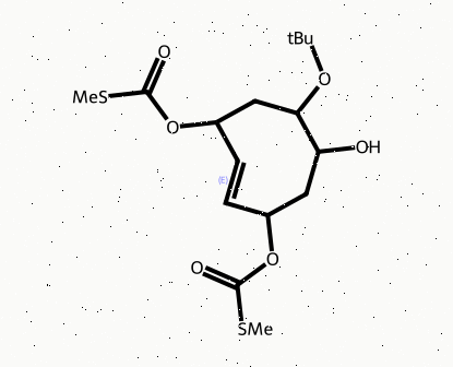 CSC(=O)OC1/C=C/C(OC(=O)SC)CC(OC(C)(C)C)C(O)C1